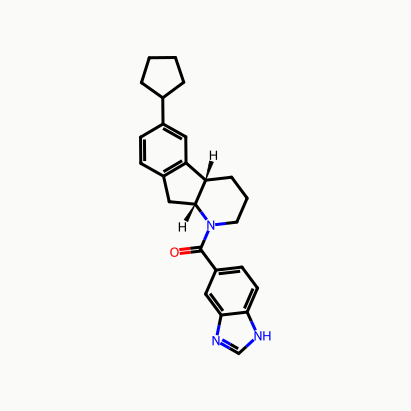 O=C(c1ccc2[nH]cnc2c1)N1CCC[C@H]2c3cc(C4CCCC4)ccc3C[C@H]21